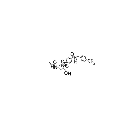 C=CC(=O)NC1CC(CO)N(S(=O)(=O)c2ccc(C(=O)NCc3ccc(C(F)(F)F)cc3)cc2)C1